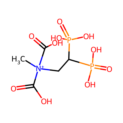 C[N+](CC(P(=O)(O)O)P(=O)(O)O)(C(=O)O)C(=O)O